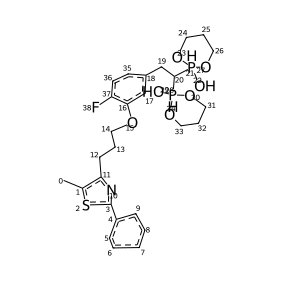 Cc1sc(-c2ccccc2)nc1CCCOc1cc(CC([PH]2(O)OCCCO2)[PH]2(O)OCCCO2)ccc1F